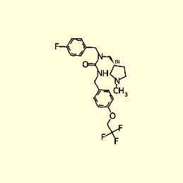 CN1CC[C@H](CN(Cc2ccc(F)cc2)C(=O)NCc2ccc(OCC(F)(F)F)cc2)C1